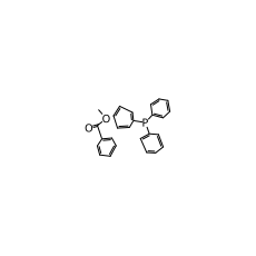 COC(=O)c1ccccc1.c1ccc(P(c2ccccc2)c2ccccc2)cc1